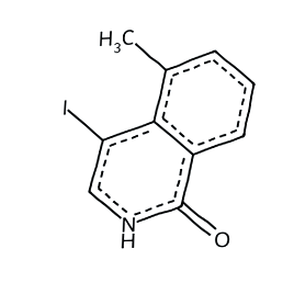 Cc1cccc2c(=O)[nH]cc(I)c12